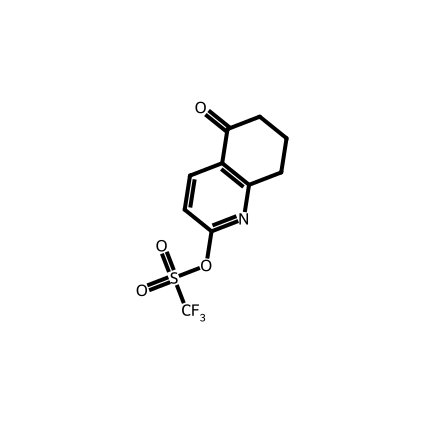 O=C1CCCc2nc(OS(=O)(=O)C(F)(F)F)ccc21